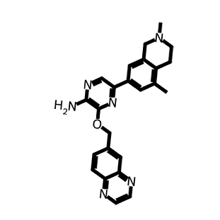 Cc1cc(-c2cnc(N)c(OCc3ccc4nccnc4c3)n2)cc2c1CCN(C)C2